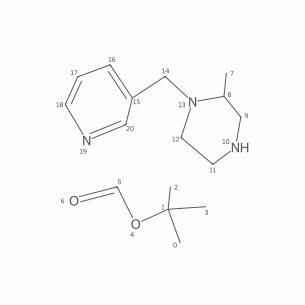 CC(C)(C)OC=O.CC1CNCCN1Cc1cccnc1